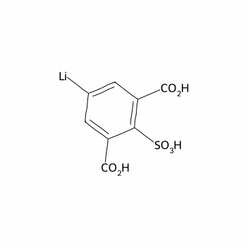 [Li][c]1cc(C(=O)O)c(S(=O)(=O)O)c(C(=O)O)c1